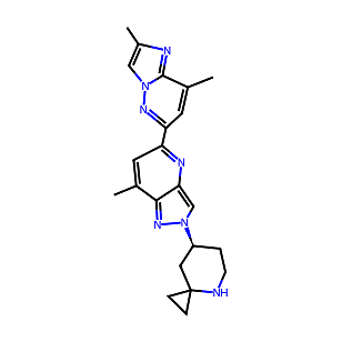 Cc1cn2nc(-c3cc(C)c4nn([C@H]5CCNC6(CC6)C5)cc4n3)cc(C)c2n1